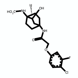 O=C(O)NC12CCC(NC(=O)COc3ccc(Cl)c(F)c3)(CC1)C[C@@H]2O